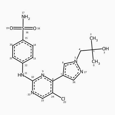 CC(C)(O)Cn1cc(-c2nc(Nc3ccc(S(N)(=O)=O)cc3)ncc2Cl)cn1